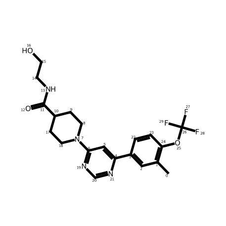 Cc1cc(-c2cc(N3CCC(C(=O)NCCO)CC3)ncn2)ccc1OC(F)(F)F